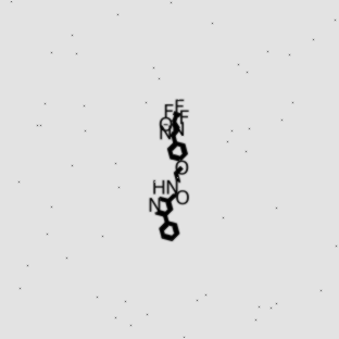 O=C(NCCOc1ccc(-c2noc(C(F)(F)F)n2)cc1)c1cncc(-c2ccccc2)c1